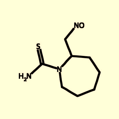 NC(=S)N1CCCCCC1CN=O